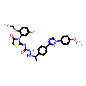 CC(NNC(=O)N=C1SCC(=O)N1c1cc(Cl)ccc1OCC(F)(F)F)c1ccc(-c2ncn(-c3ccc(OC(F)(F)F)cc3)n2)cc1